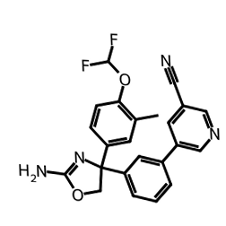 Cc1cc(C2(c3cccc(-c4cncc(C#N)c4)c3)COC(N)=N2)ccc1OC(F)F